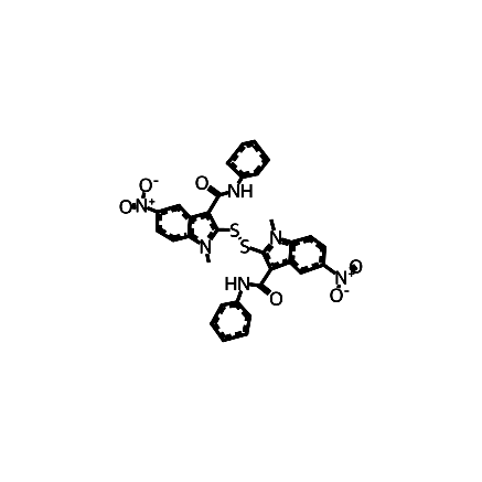 Cn1c(SSc2c(C(=O)Nc3ccccc3)c3cc([N+](=O)[O-])ccc3n2C)c(C(=O)Nc2ccccc2)c2cc([N+](=O)[O-])ccc21